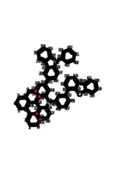 c1ccc(-c2cccc3cccc(-c4ccccc4N(c4cccc(-c5ccc6c(c5)c5ccccc5n6-c5ccccc5)c4)c4cccc(-c5cccc6c5oc5ccccc56)c4)c23)cc1